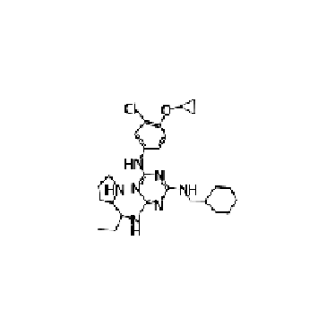 CCC(Nc1nc(NCC2CCCCC2)nc(Nc2ccc(OC3CC3)c(Cl)c2)n1)C1CCCN1